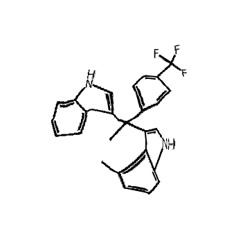 Cc1cccc2[nH]cc(C(C)(c3ccc(C(F)(F)F)cc3)c3c[nH]c4ccccc34)c12